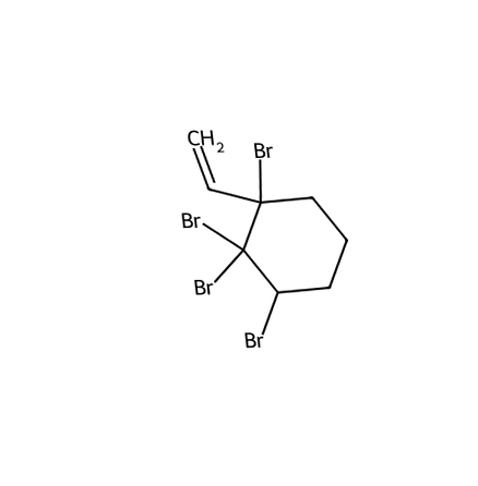 C=CC1(Br)CCCC(Br)C1(Br)Br